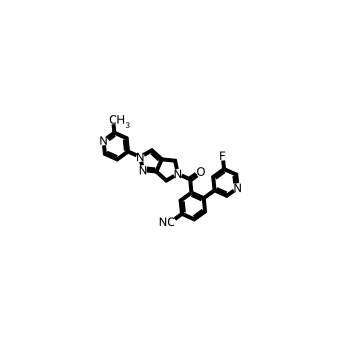 Cc1cc(-n2cc3c(n2)CN(C(=O)c2cc(C#N)ccc2-c2cncc(F)c2)C3)ccn1